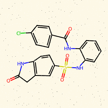 O=C1Cc2cc(S(=O)(=O)Nc3ccccc3NC(=O)c3ccc(Cl)cc3)ccc2N1